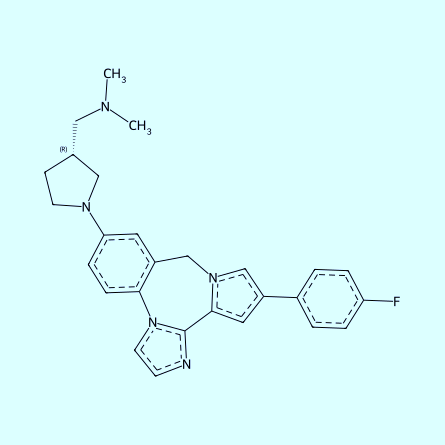 CN(C)C[C@H]1CCN(c2ccc3c(c2)Cn2cc(-c4ccc(F)cc4)cc2-c2nccn2-3)C1